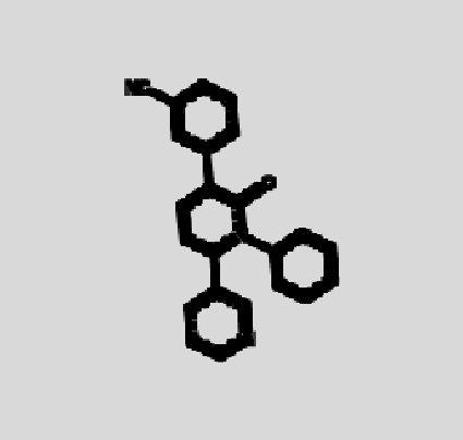 N#Cc1cccc(-c2ccc(-c3cccnc3)n(-c3ccccc3)c2=O)c1